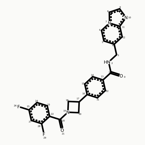 O=C(NCc1ccn2ccnc2c1)c1ccc(C2CN(C(=O)c3ccc(F)cc3F)C2)cc1